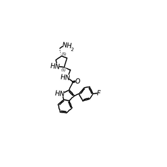 NC[C@H]1CN[C@H](CNC(=O)c2[nH]c3ccccc3c2-c2ccc(F)cc2)C1